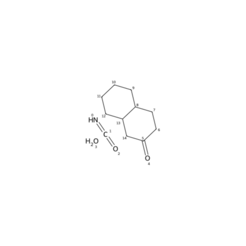 N=C=O.O.O=C1CCC2CCCCC2C1